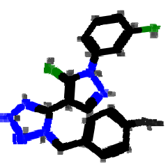 COc1ccc(CN2NNN=C2c2cnn(-c3cccc(Br)c3)c2Br)cc1